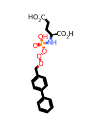 O=C(O)CC[C@H](NP(=O)(O)OOOCc1ccc(-c2ccccc2)cc1)C(=O)O